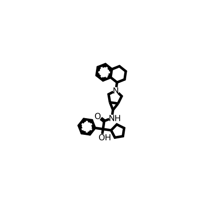 O=C(NC1C2CN(C3CCCc4ccccc43)CC21)C(O)(c1ccccc1)C1CCCC1